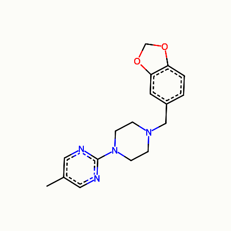 Cc1cnc(N2CCN(Cc3ccc4c(c3)OCO4)CC2)nc1